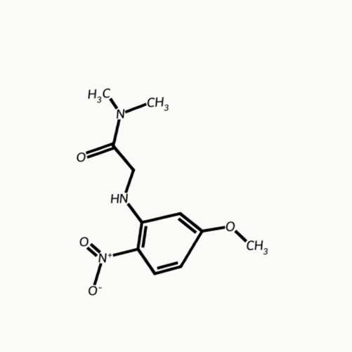 COc1ccc([N+](=O)[O-])c(NCC(=O)N(C)C)c1